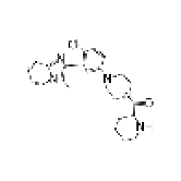 Cc1c(-c2cc(N3CCN(C(=O)C4CCCCN4)CC3)ccc2Cl)nc2ccccn12